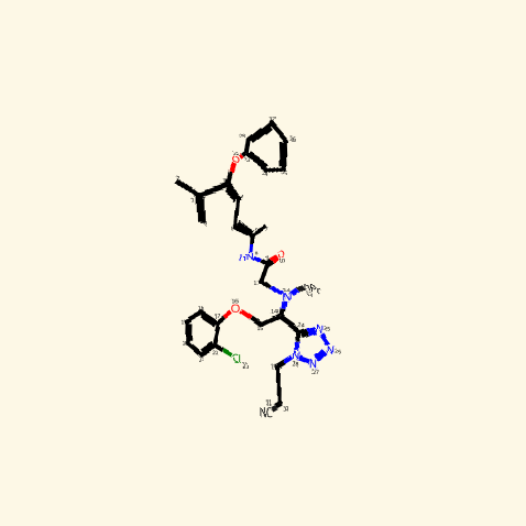 C=C(C)/C(=C\C=C(/C)NC(=O)CN(CCC)C(COc1ccccc1Cl)c1nnnn1CCC#N)Oc1ccccc1